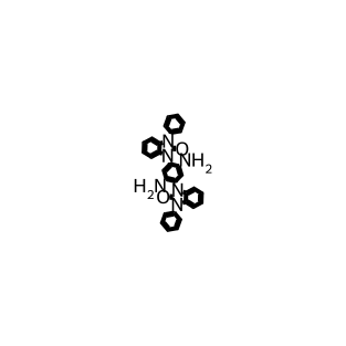 Nc1cc(-n2c(=O)n(-c3ccccc3)c3ccccc32)c(N)cc1-n1c(=O)n(-c2ccccc2)c2ccccc21